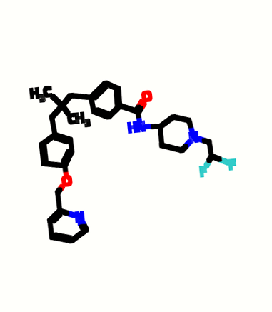 CC(C)(Cc1ccc(OCc2ccccn2)cc1)Cc1ccc(C(=O)NC2CCN(CC(F)F)CC2)cc1